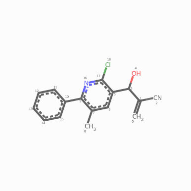 C=C(C#N)C(O)c1cc(C)c(-c2ccccc2)nc1Cl